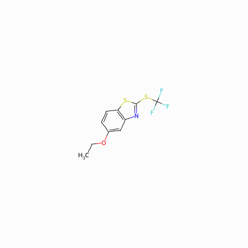 CCOc1ccc2sc(SC(F)(F)F)nc2c1